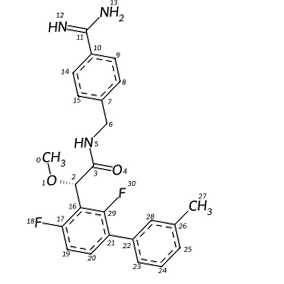 CO[C@H](C(=O)NCc1ccc(C(=N)N)cc1)c1c(F)ccc(-c2cccc(C)c2)c1F